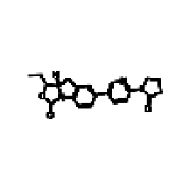 CC[C@@H]1OC(=O)N2c3ccc(-c4ccc(N5CCCC5=O)nc4)cc3C[C@@H]12